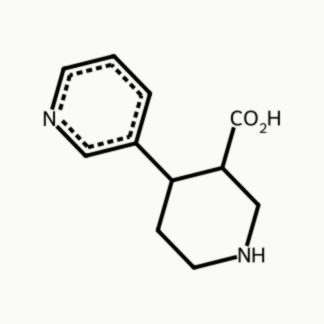 O=C(O)C1CNCCC1c1cccnc1